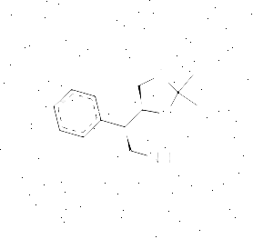 CC1(C)OC[C@H]([C@@H](CN)c2ccccc2)O1